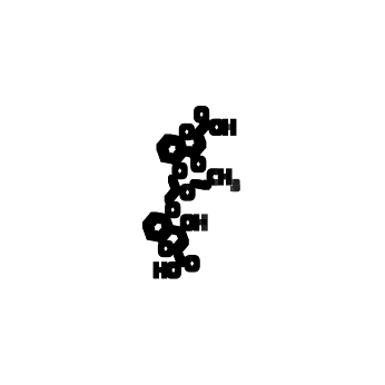 CCCOC(COc1cccc2c1C(O)C=C(C(=O)O)O2)COc1cccc2oc(C(=O)O)cc(=O)c12